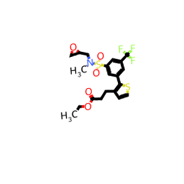 CCOC(=O)CCc1ccsc1-c1cc(C(F)(F)F)cc(S(=O)(=O)N(C)CC2CO2)c1